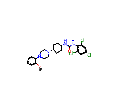 CC(C)Oc1ccccc1N1CCN([C@H]2CC[C@H](NC(=O)Nc3c(Cl)cc(Cl)cc3Cl)CC2)CC1